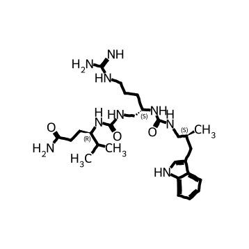 CC(C)[C@@H](CCC(N)=O)NC(=O)NC[C@H](CCCNC(=N)N)NC(=O)NC[C@@H](C)Cc1c[nH]c2ccccc12